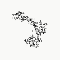 C#CC(C)N(C(=O)CCl)c1ccccc1.CC(C)Nc1nc(Cl)nc(NC(C)C)n1.CC(C)OC(=O)Nc1ccccc1.CCC(=O)Nc1ccc(Cl)c(Cl)c1.CCCN(CCC)c1c([N+](=O)[O-])cc(S(=O)(=O)N=S(C)C)cc1[N+](=O)[O-].Nc1cnn(-c2ccccc2)c(=O)c1Cl